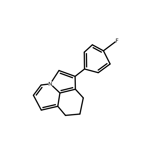 Fc1ccc(-c2cn3cccc4c3c2CCC4)cc1